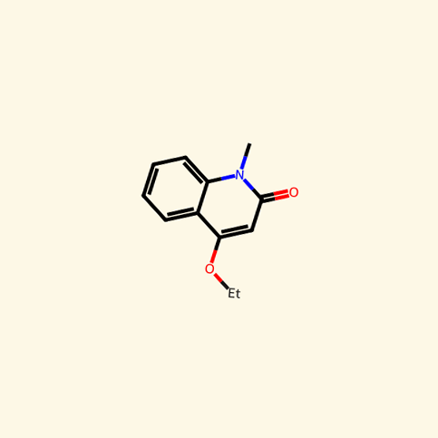 CCOc1cc(=O)n(C)c2ccccc12